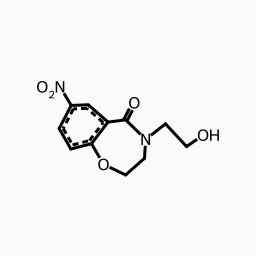 O=C1c2cc([N+](=O)[O-])ccc2OCCN1CCO